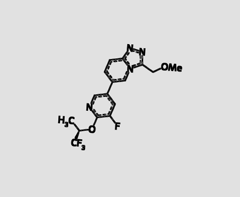 COCc1nnc2ccc(-c3cnc(O[C@H](C)C(F)(F)F)c(F)c3)cn12